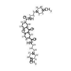 CN1CCN(CCCNC(=O)c2ccc3oc4ccc(C(=O)NCCCN5CCN(C)CC5)cc4c(=O)c3c2)CC1